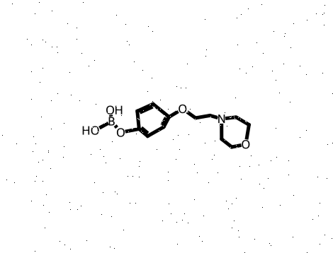 OB(O)Oc1ccc(OCCN2CCOCC2)cc1